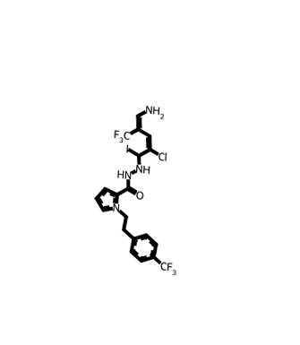 N/C=C(\C=C(\Cl)C(I)NNC(=O)c1cccn1CCc1ccc(C(F)(F)F)cc1)C(F)(F)F